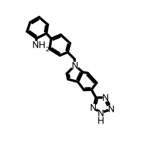 Nc1ccccc1-c1ccc(Cn2ccc3cc(-c4nn[nH]n4)ccc32)cc1